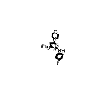 CC(C)Oc1cc(N2CCOCC2)nc(Nc2ccc(F)cc2)n1